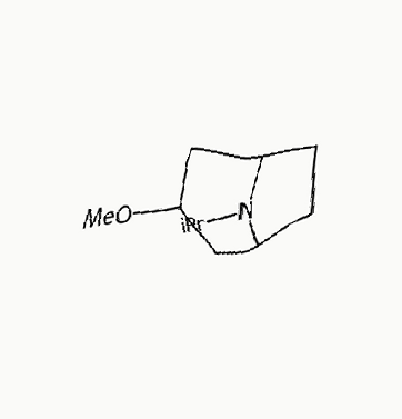 COC1CC2CCC(C1)N2C(C)C